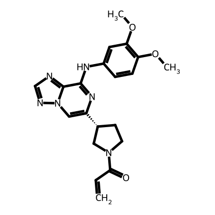 C=CC(=O)N1CC[C@@H](c2cn3ncnc3c(Nc3ccc(OC)c(OC)c3)n2)C1